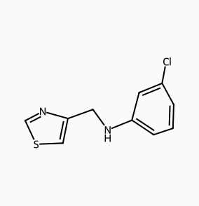 Clc1cccc(NCc2cscn2)c1